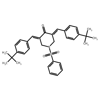 CC(C)(C)c1ccc(/C=C2\CN(S(=O)(=O)c3ccccc3)C/C(=C\c3ccc(C(C)(C)C)cc3)C2=O)cc1